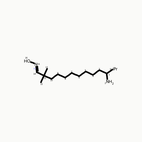 CC(C)C(N)CCCCCCCCC(C)(C)/C=N/O